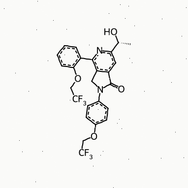 C[C@@H](O)c1cc2c(c(-c3ccccc3OCC(F)(F)F)n1)CN(c1ccc(OCC(F)(F)F)cc1)C2=O